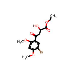 CCOC(=O)C(O)CC(=O)c1cc(Br)c(OC)cc1OC